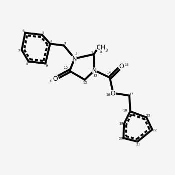 CC1N(Cc2ccccc2)C(=O)CN1C(=O)OCc1ccccc1